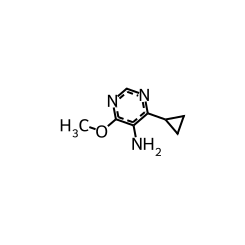 COc1ncnc(C2CC2)c1N